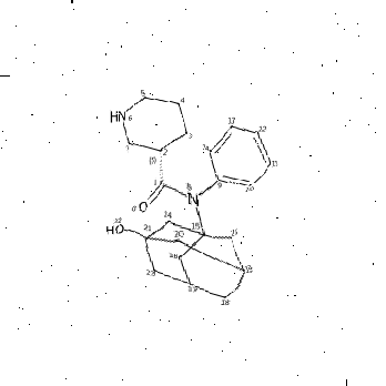 O=C([C@H]1CCCNC1)N(c1ccccc1)C12CC3CC(CC(O)(C3)C1)C2